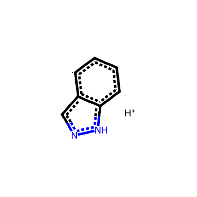 [H+].[c]1cccc2[nH]ncc12